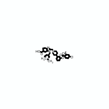 C=N/C=C(\C=C/C)Cn1c(CN2CCC(c3cccc4c3OC(C)(c3ccc(Cl)cc3F)O4)CC2)nc2ccc(C(=O)O)cc21